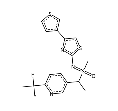 CC(c1ccc(C(C)(F)F)nc1)S(C)(=O)=Nc1nc(-c2ccsc2)cs1